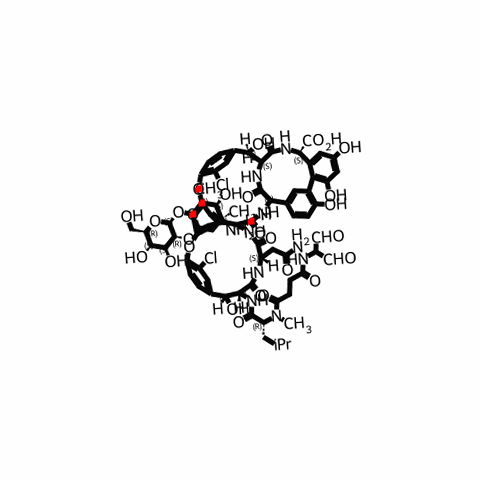 CC(C)C[C@H](C(=O)N[C@H]1C(=O)N[C@@H](CC(N)=O)C(=O)N[C@H]2C(=O)N[C@H]3C(=O)N[C@H](C(=O)N[C@H](C(=O)O)c4cc(O)cc(O)c4-c4cc3ccc4O)[C@H](O)c3ccc(c(Cl)c3)Oc3cc2cc(c3O[C@@H]2O[C@H](CO)[C@@H](O)[C@H](O)[C@H]2O[C@H]2C[C@](C)(N)[C@H](O)[C@H](C)O2)Oc2ccc(cc2Cl)[C@H]1O)N(C)C(=O)CCC(=O)NC(C=O)C=O